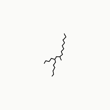 CCCCCCCCC(C)[CH]C(CCCC)CCCCCC